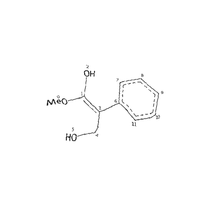 CO/C(O)=C(\CO)c1ccccc1